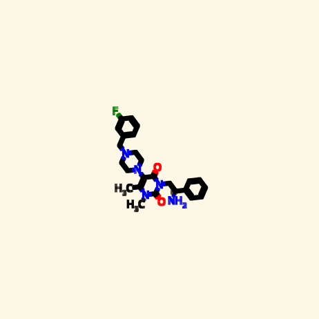 Cc1c(N2CCN(Cc3cccc(F)c3)CC2)c(=O)n(C[C@H](N)c2ccccc2)c(=O)n1C